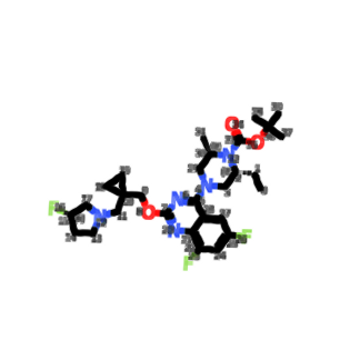 CC[C@@H]1CN(c2nc(OCC3(CN4CC[C@@H](F)C4)CC3)nc3c(F)cc(F)cc23)C[C@@H](C)N1C(=O)OC(C)(C)C